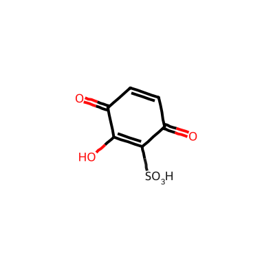 O=C1C=CC(=O)C(S(=O)(=O)O)=C1O